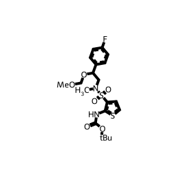 COCOC(CN(C)S(=O)(=O)c1ccsc1NC(=O)OC(C)(C)C)c1ccc(F)cc1